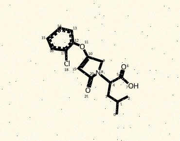 CC(C)CC(C(=O)O)N1CC(Oc2ccccc2Cl)=CC1=O